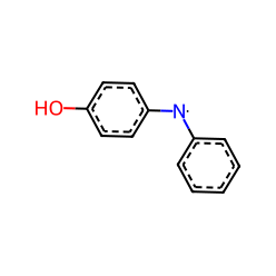 Oc1ccc([N]c2ccccc2)cc1